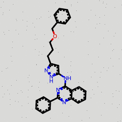 c1ccc(COCCCc2cc(Nc3nc(-c4ccccc4)nc4ccccc34)[nH]n2)cc1